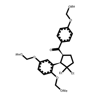 CCC1(CC)CC[C@H](C(=O)c2ccc(OCOC)cc2)[C@@H]1c1cc(OCOC)ccc1OCOC